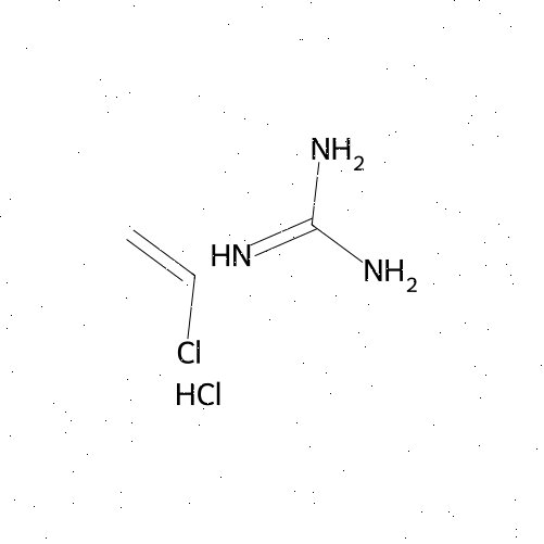 C=CCl.Cl.N=C(N)N